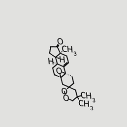 CC1(C)COOC2(CC[C@@]34O[C@@]3(CC[C@@H]3C4=CC[C@]4(C)C(=O)CC[C@@H]34)C2)C1